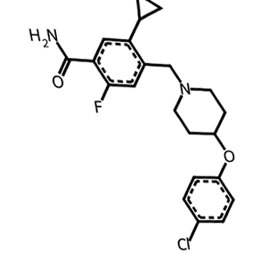 NC(=O)c1cc(C2CC2)c(CN2CCC(Oc3ccc(Cl)cc3)CC2)cc1F